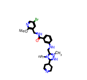 CCCN1C(C2CC=NCC2)NN(C)C1CNc1cccc(C(=O)NCc2cc(Br)cnc2OC)c1